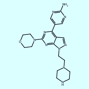 Nc1ncc(-c2nc(N3CCOCC3)nc3c2cnn3CCN2CCNCC2)cn1